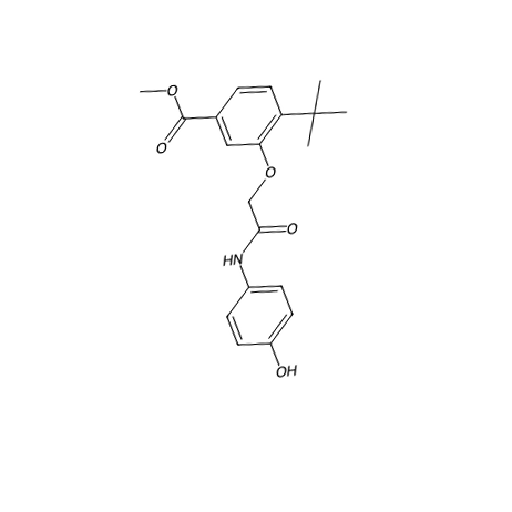 COC(=O)c1ccc(C(C)(C)C)c(OCC(=O)Nc2ccc(O)cc2)c1